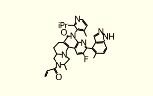 C=CC(=O)N1CC2CCc3c(c4cc(F)c(-c5c(C)ccc6[nH]ncc56)nc4n(-c4c(C)ccnc4C(C)C)c3=O)N2CC1C